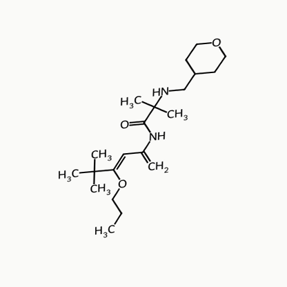 C=C(/C=C(\OCCC)C(C)(C)C)NC(=O)C(C)(C)NCC1CCOCC1